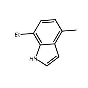 CCc1ccc(C)c2cc[nH]c12